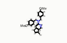 COc1ccc(CN(Cc2ccc(OC)cc2)c2cc3c(cn2)C(C)=CC3)cc1